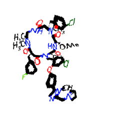 COC[C@@H]1NC(=O)[C@H](C)N(Cc2ccc(Cl)cc2Oc2ccc(-c3cnc(CN4CCCC4)n3C)cc2)C(=O)C[C@@H](Cc2cccc(F)c2)C(=O)N(C)[C@@H](C)CNC(=O)C[C@H](Cc2ccc(Cl)cc2)N(C)C1=O